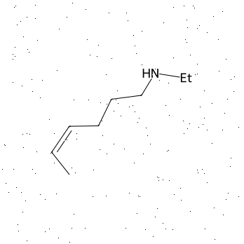 C/C=C\CCCNCC